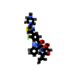 C/C=C(\C)C1CN(C(C=O)(NC(=O)c2ccc(-c3csc(N4CCN(C)CC4)n3)c(F)c2)C2CCCCC2)C2C(=O)COC12